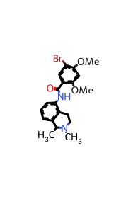 COc1cc(OC)c(C(=O)Nc2cccc3c2CCN(C)C3C)cc1Br